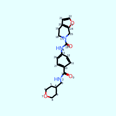 O=C(NCC1CCOCC1)c1ccc(NC(=O)N2CCc3ccoc3C2)cc1